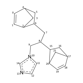 C1=CC2CC1CC2CC(Cn1ccnc1)C1CC2C=CC1C2